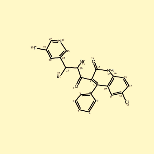 O=C(c1c(-c2ccccc2)c2cc(Cl)ccc2[nH]c1=O)C(Br)C(Br)c1cncc(F)c1